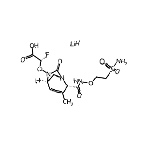 CC1=C[C@@H]2CN(C(=O)N2O[C@@H](F)C(=O)O)[C@@H]1C(=O)NOCCS(N)(=O)=O.[LiH]